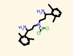 Cc1cccc(C)c1C(N)CC[N](CCC(N)c1c(C)cccc1C)[Co]([Cl])[Cl]